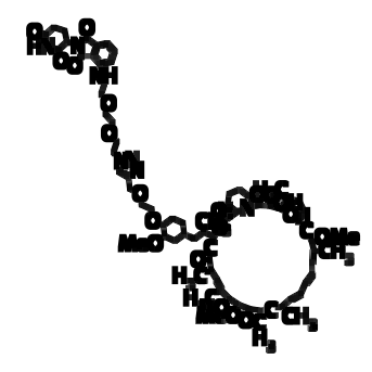 CO[C@H]1C[C@@H]2CC[C@@H](C)[C@@](O)(O2)C(=O)C(=O)N2CCCC[C@H]2C(=O)O[C@H]([C@H](C)C[C@@H]2CC[C@@H](OCCOCc3cn(CCOCCOCCNc4cccc5c4C(=O)N(C4CCC(=O)NC4=O)C5=O)nn3)[C@H](OC)C2)CC(=O)[C@H](C)/C=C(\C)[C@@H](O)[C@@H](OC)C(=O)[C@H](C)C[C@H](C)/C=C/C=C/C=C/1C